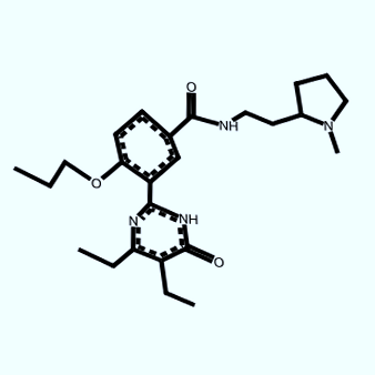 CCCOc1ccc(C(=O)NCCC2CCCN2C)cc1-c1nc(CC)c(CC)c(=O)[nH]1